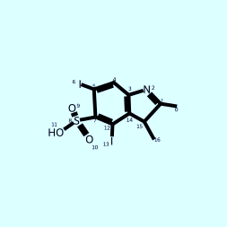 CC1=Nc2cc(I)c(S(=O)(=O)O)c(I)c2C1C